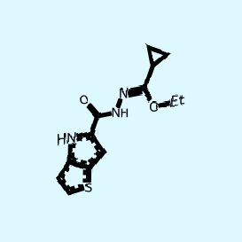 CCO/C(=N\NC(=O)c1cc2sccc2[nH]1)C1CC1